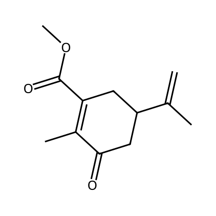 C=C(C)C1CC(=O)C(C)=C(C(=O)OC)C1